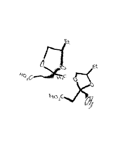 CCC1COC(C)(CC(=O)O)O1.CCC1COC(C)(CC(=O)O)O1